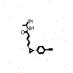 C#Cc1ccc([C@@H]2C[C@H]2C=CC=CC(=O)NC(C)C(C)C)cc1